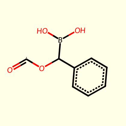 O=[C]OC(B(O)O)c1ccccc1